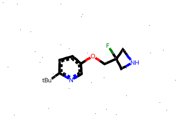 CC(C)(C)c1ccc(OCC2(F)CNC2)cn1